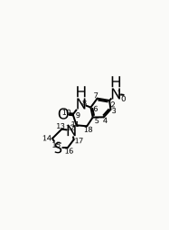 CNc1ccc2c(c1)NC(=O)C(N1CCSCC1)C2